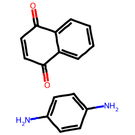 Nc1ccc(N)cc1.O=C1C=CC(=O)c2ccccc21